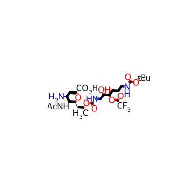 CC(=O)N[C@@H]1[C@@H](N)C=C(C(=O)O)O[C@@H]1C[C@@H](C)OC(=O)NCC(O)C(CCCNC(=O)OC(C)(C)C)OC(=O)C(F)(F)F